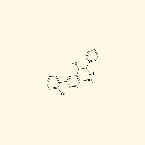 Nc1nnc(-c2ccccc2O)cc1C(O)C(O)c1ccccc1